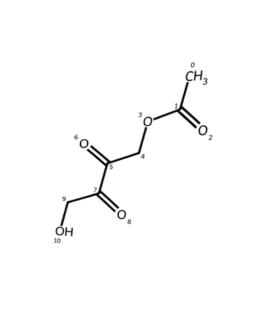 CC(=O)OCC(=O)C(=O)CO